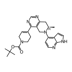 C[C@@H]1Cc2ncnc(C3=CCN(C(=O)OC(C)(C)C)CC3)c2CN1c1ccnc2[nH]ccc12